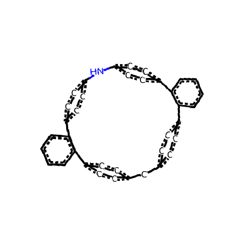 c1ccc2c(c1)-c1ccc(cc1)Cc1ccc(cc1)-c1ccccc1-c1ccc(cc1)Nc1ccc-2cc1